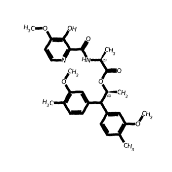 COc1cc(C(c2ccc(C)c(OC)c2)[C@H](C)OC(=O)[C@H](C)NC(=O)c2nccc(OC)c2O)ccc1C